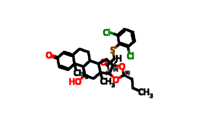 CCC[C@@H]1O[C@@H]2CC3C4CCC5=CC(=O)C=CC5(C)C4[C@@H](O)CC3(C)[C@]2(C(=O)CSc2c(Cl)cccc2Cl)O1